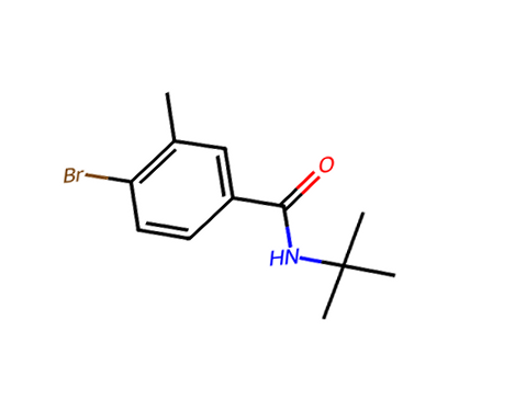 Cc1cc(C(=O)NC(C)(C)C)ccc1Br